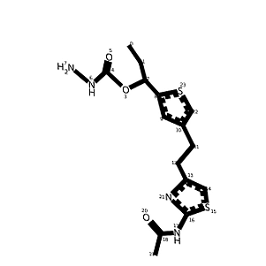 CCC(OC(=O)NN)c1cc(CCc2csc(NC(C)=O)n2)cs1